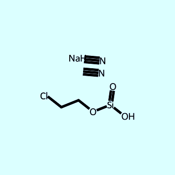 C#N.C#N.O=[Si](O)OCCCl.[NaH]